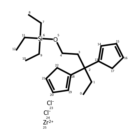 CCC(CCO[Si](CC)(CC)CC)(C1=CC=CC1)C1=CC=CC1.[Cl-].[Cl-].[Zr+2]